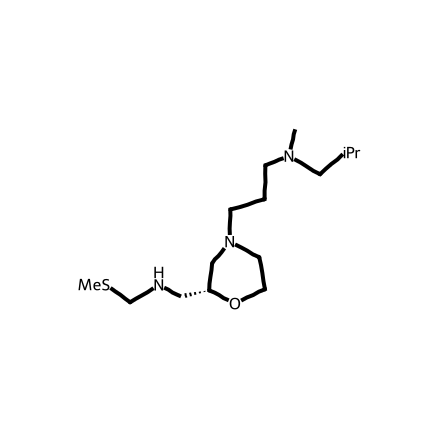 CSCNC[C@@H]1CN(CCCN(C)CC(C)C)CCO1